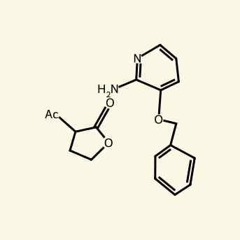 CC(=O)C1CCOC1=O.Nc1ncccc1OCc1ccccc1